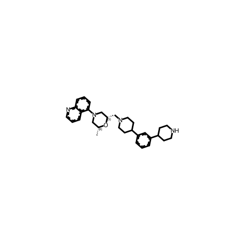 C[C@@H]1CN(c2cccc3ncccc23)C[C@H](CN2CCC(c3cccc(C4CCNCC4)c3)CC2)O1